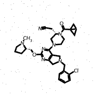 CN1CCC[C@H]1COc1nc2c(c(N3CCN(C(=O)C45CC4C5)[C@@H](CC#N)C3)n1)CN(Cc1ccccc1Cl)C2